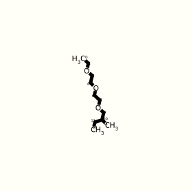 CCOCCOCCOCC(C)CC